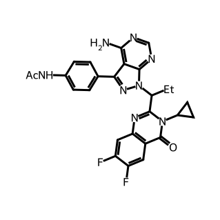 CCC(c1nc2cc(F)c(F)cc2c(=O)n1C1CC1)n1nc(-c2ccc(NC(C)=O)cc2)c2c(N)ncnc21